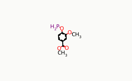 COC(=O)c1ccc(OP)c(OC)c1